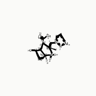 C[C@]1(Cn2ccnn2)[C@H](C(=O)O)C2C(=O)C[C@H]2S1(=O)=O